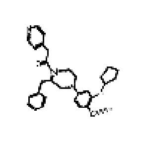 COc1ccc(N2CCN(C(=O)Cc3ccncc3)C(Cc3ccccc3)C2)cc1OC1CCCC1